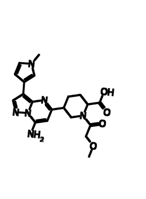 COCC(=O)N1CC(c2cc(N)n3ncc(-c4ccn(C)c4)c3n2)CCC1C(=O)O